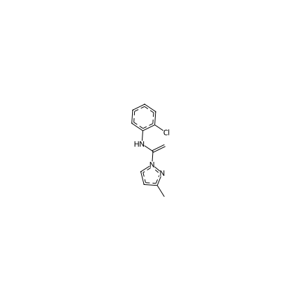 C=C(Nc1ccccc1Cl)n1ccc(C)n1